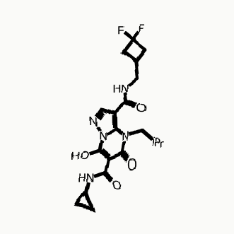 CC(C)Cn1c(=O)c(C(=O)NC2CC2)c(O)n2ncc(C(=O)NCC3CC(F)(F)C3)c12